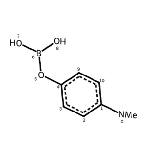 CNc1ccc(OB(O)O)cc1